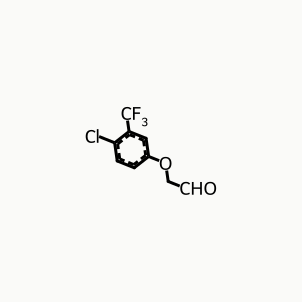 O=CCOc1ccc(Cl)c(C(F)(F)F)c1